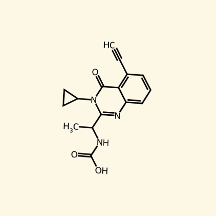 C#Cc1cccc2nc(C(C)NC(=O)O)n(C3CC3)c(=O)c12